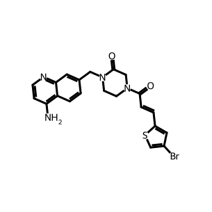 Nc1ccnc2cc(CN3CCN(C(=O)/C=C/c4cc(Br)cs4)CC3=O)ccc12